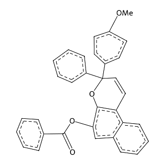 COc1ccc(C2(c3ccccc3)C=Cc3c(c(OC(=O)c4ccccc4)cc4ccccc34)O2)cc1